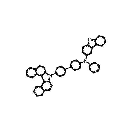 c1ccc(N(c2ccc(-c3ccc(-n4c5ccc6ccccc6c5c5c6ccccc6ccc54)cc3)cc2)c2ccc3oc4ccccc4c3c2)cc1